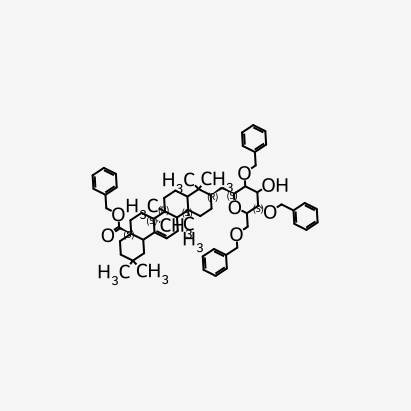 CC1(C)CC[C@]2(C(=O)OCc3ccccc3)CC[C@]3(C)C(=CCC4[C@@]5(C)CC[C@H](C[C@@H]6OC(COCc7ccccc7)[C@@H](OCc7ccccc7)C(O)C6OCc6ccccc6)C(C)(C)C5CC[C@]43C)C2C1